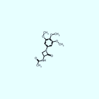 COc1cc(N2CC(NC(C)=O)C2=O)cc(OC)c1OC